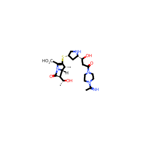 CC(=N)N1CCN(C(=O)CC(O)[C@@H]2C[C@H](SC3=C(C(=O)O)N4C(=O)[C@H]([C@@H](C)O)[C@H]4[C@H]3C)CN2)CC1